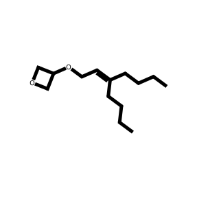 CCCCC(=CCOC1COC1)CCCC